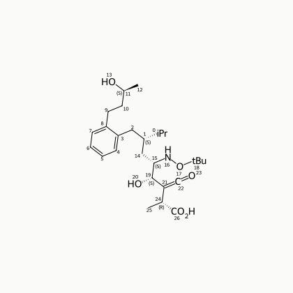 CC(C)[C@@H](Cc1ccccc1CC[C@H](C)O)C[C@H](NOC(C)(C)C)[C@@H](O)C(=C=O)[C@@H](C)C(=O)O